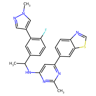 Cc1nc(NC(C)c2ccc(F)c(-c3cnn(C)c3)c2)cc(-c2ccc3ncsc3c2)n1